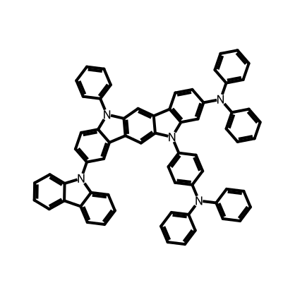 c1ccc(N(c2ccccc2)c2ccc(-n3c4cc(N(c5ccccc5)c5ccccc5)ccc4c4cc5c(cc43)c3cc(-n4c6ccccc6c6ccccc64)ccc3n5-c3ccccc3)cc2)cc1